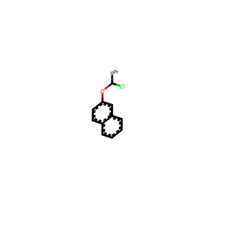 CCCC(Cl)Oc1ccc2ccccc2c1